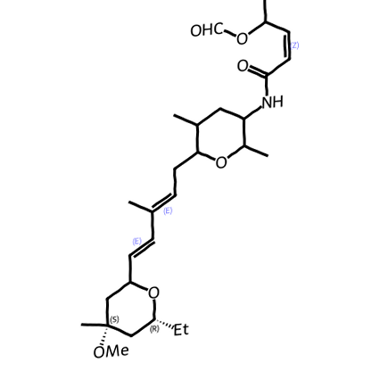 CC[C@@H]1C[C@](C)(OC)CC(/C=C/C(C)=C/CC2OC(C)C(NC(=O)/C=C\C(C)OC=O)CC2C)O1